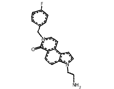 NCCn1ccc2c3ccn(Cc4ccc(F)cc4)c(=O)c3ccc21